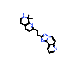 CC1(C)NCCc2ccc(CCc3nc4c5cccnc5ccn4n3)nc21